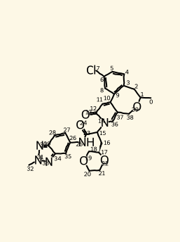 CC1Cc2ccc(Cl)cc2-c2cc(=O)n(C(C[C@@H]3COCCO3)C(=O)Nc3ccc4nn(C)nc4c3)cc2CO1